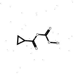 CCOC(=O)OC(=O)C1CC1